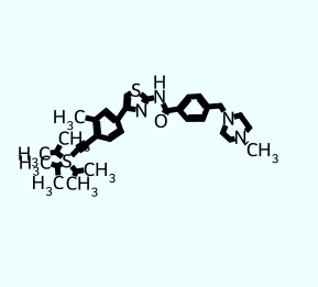 Cc1cc(-c2csc(NC(=O)c3ccc(CN4CCN(C)CC4)cc3)n2)ccc1C#CS(C(C)C)(C(C)C)C(C)C